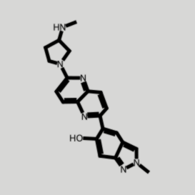 CNC1CCN(c2ccc3nc(-c4cc5cn(C)nc5cc4O)ccc3n2)C1